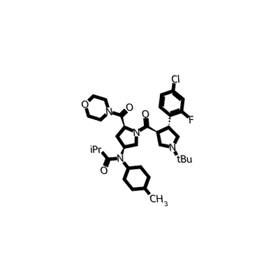 CC1CCC(N(C(=O)C(C)C)[C@H]2C[C@@H](C(=O)N3CCOCC3)N(C(=O)[C@@H]3CN(C(C)(C)C)C[C@H]3c3ccc(Cl)cc3F)C2)CC1